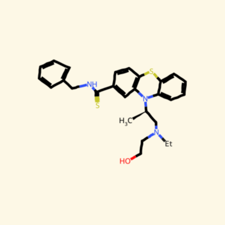 CCN(CCO)C[C@@H](C)N1c2ccccc2Sc2ccc(C(=S)NCc3ccccc3)cc21